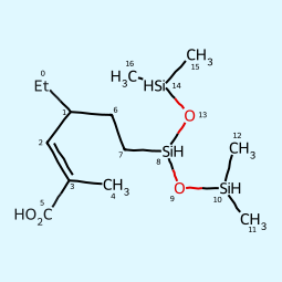 CCC(C=C(C)C(=O)O)CC[SiH](O[SiH](C)C)O[SiH](C)C